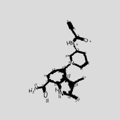 C#CC(=O)N[C@H]1CCCN(c2ccc(C(N)=O)c3[nH]c(C)c(C)c23)C1